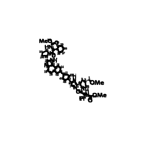 COC[C@H]1C[C@@H](c2ncc(-c3ccc(-c4ccc5c(ccc6nc([C@@H]7CCCN7C(=O)[C@H](NC(=O)OC)c7ccccc7)[nH]c65)c4)cc3)[nH]2)N(C(=O)[C@@H](NC(=O)OC)C(C)C)C1